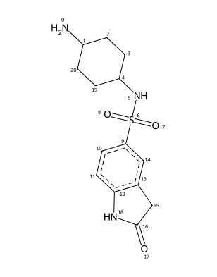 NC1CCC(NS(=O)(=O)c2ccc3c(c2)CC(=O)N3)CC1